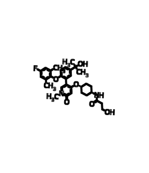 Cc1cc(F)cc(C)c1Oc1ccc(C(C)(C)O)cc1-c1cn(C)c(=O)cc1O[C@H]1CC[C@H](NC(=O)CCO)CC1